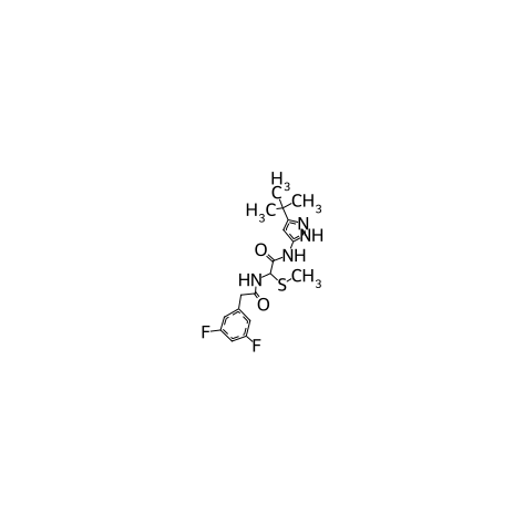 CSC(NC(=O)Cc1cc(F)cc(F)c1)C(=O)Nc1cc(C(C)(C)C)n[nH]1